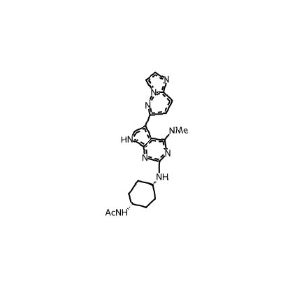 CNc1nc(N[C@H]2CC[C@@H](NC(C)=O)CC2)nc2[nH]cc(-c3ccc4nccn4n3)c12